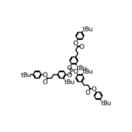 CC(C)(C)c1ccc(OC(=O)CCc2ccc(OP(Oc3ccc(CCC(=O)Oc4ccc(C(C)(C)C)cc4)cc3C(C)(C)C)Oc3ccc(CCC(=O)Oc4ccc(C(C)(C)C)cc4)cc3C(C)(C)C)c(C(C)(C)C)c2)cc1